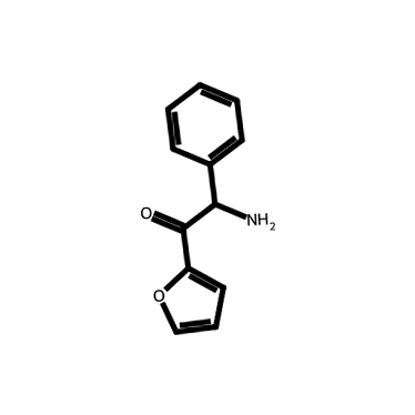 NC(C(=O)c1ccco1)c1ccccc1